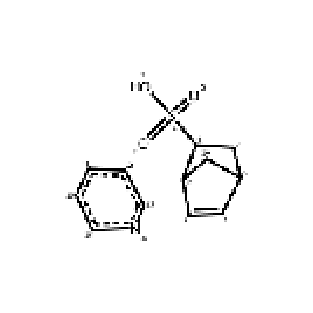 O=S(=O)(O)C1CC2C=CC1C2.c1ccncc1